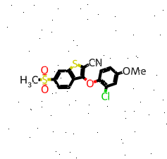 COc1ccc(Oc2c(C#N)sc3cc(S(C)(=O)=O)ccc23)c(Cl)c1